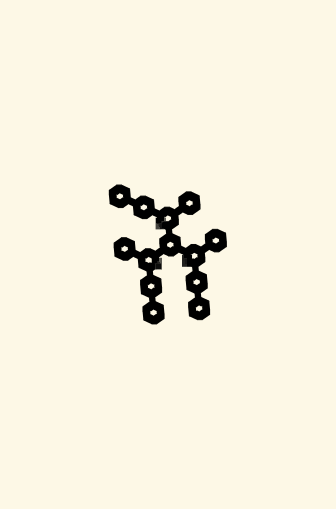 c1ccc(-c2ccc(-c3cc(-c4ccccc4)cc(-c4cc(-c5cc(-c6ccccc6)cc(-c6ccc(-c7ccccc7)cc6)n5)cc(-c5cc(-c6ccccc6)cc(-c6ccc(-c7ccccc7)cc6)n5)c4)n3)cc2)cc1